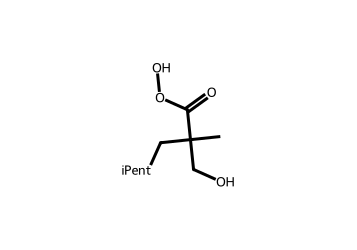 CCCC(C)CC(C)(CO)C(=O)OO